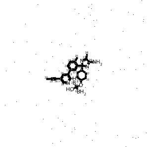 BC(B)(O)OC1CCC(C2(c3cc(-c4cncc(C#CC)c4)ccc3C)N=C(C)C(N)=N2)CC1